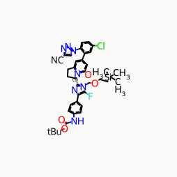 CC(C)(C)OC(=O)Nc1ccc(-c2nc([C@@H]3CCc4cc(-c5cc(Cl)ccc5-n5cc(C#N)nn5)cc(=O)n43)n(COCC[Si](C)(C)C)c2F)cc1